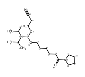 CC(C)N(C(C)C)P(OCCC#N)OCCCCCC(=O)N1CCCC1